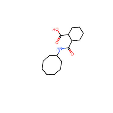 O=C(O)C1CCCCC1C(=O)NC1CCCCCCC1